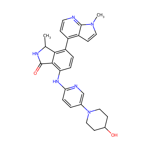 CC1NC(=O)c2c(Nc3ccc(N4CCC(O)CC4)cn3)ccc(-c3ccnc4c3ccn4C)c21